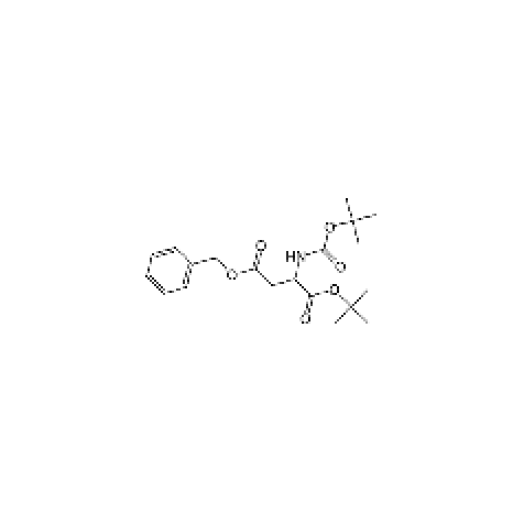 CC(C)(C)OC(=O)NC(CC(=O)OCc1ccccc1)C(=O)OC(C)(C)C